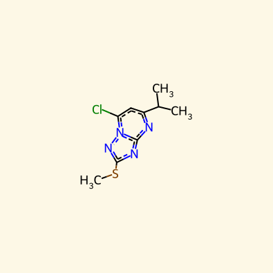 CSc1nc2nc(C(C)C)cc(Cl)n2n1